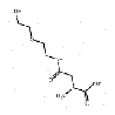 CCCC(=O)N(C)CC(=O)NCCOCCO